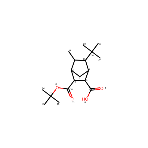 CC1C2CC(C(C(=O)O)C2C(=O)OC(C)(C)C)C1C(C)(C)C